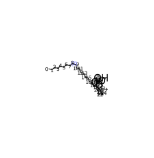 CCCCCCCC/C=C\CCCCCCCCCC(C[N+](C)(C)C)OP(=O)([O-])O